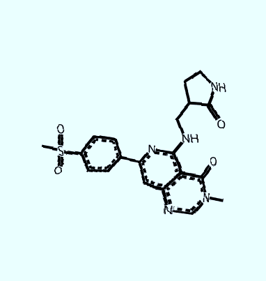 Cn1cnc2cc(-c3ccc(S(C)(=O)=O)cc3)nc(NCC3CCNC3=O)c2c1=O